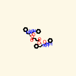 O=C(Nc1ccccc1)N[C@@H](COC(=O)/C=C/C(=O)OC[C@@H](Cc1ccccc1)NC(=O)Nc1ccccc1)Cc1ccccc1